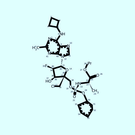 Cc1nc(NC2CCC2)c2ncn([C@@H]3O[C@](CCl)(CO[P@](=O)(N[C@@H](C)C(=O)OC(C)C)Oc4ccccc4)[C@@H](O)[C@H]3F)c2n1